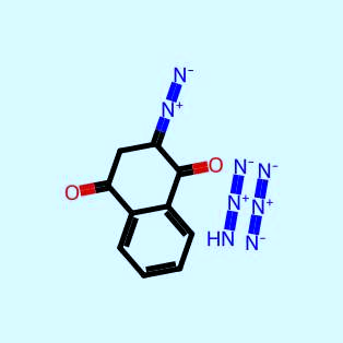 [N-]=[N+]=C1CC(=O)c2ccccc2C1=O.[N-]=[N+]=N.[N-]=[N+]=[N-]